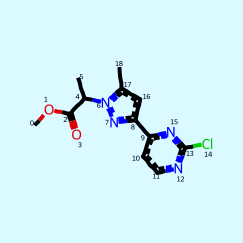 COC(=O)C(C)n1nc(-c2ccnc(Cl)n2)cc1C